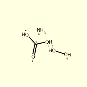 N.O=C(O)O.OO